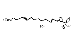 CCCCCCCCCCCCCCCCCCCCCCOS(=O)(=O)[O-].[K+]